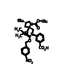 C[SiH](C)O[C@]1(CN(C(=O)OCc2ccc([N+](=O)[O-])cc2)c2cccc(C(=O)O)c2)C[C@H](C(C)(C)C)CN1C(=O)OC(C)(C)C